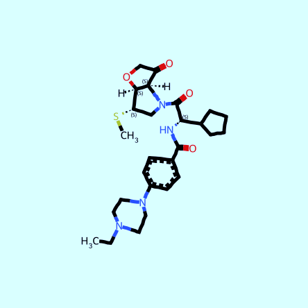 CCN1CCN(c2ccc(C(=O)N[C@H](C(=O)N3C[C@H](SC)[C@H]4OCC(=O)[C@H]43)C3CCCC3)cc2)CC1